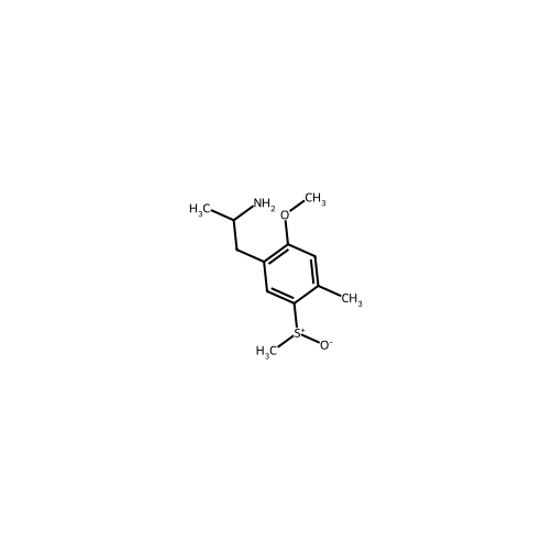 COc1cc(C)c([S+](C)[O-])cc1CC(C)N